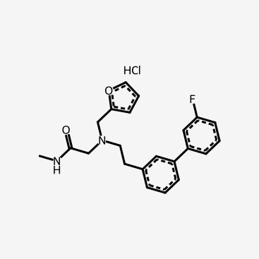 CNC(=O)CN(CCc1cccc(-c2cccc(F)c2)c1)Cc1ccco1.Cl